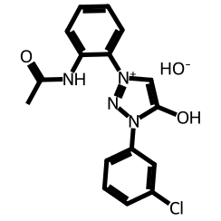 CC(=O)Nc1ccccc1-[n+]1cc(O)n(-c2cccc(Cl)c2)n1.[OH-]